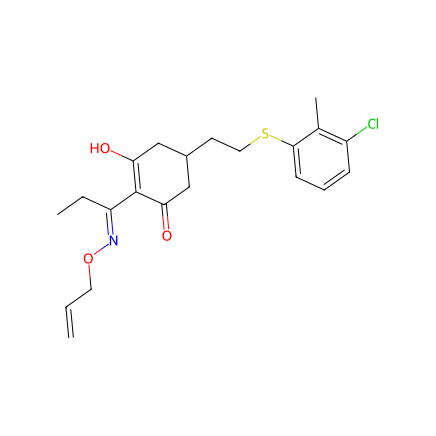 C=CCON=C(CC)C1=C(O)CC(CCSc2cccc(Cl)c2C)CC1=O